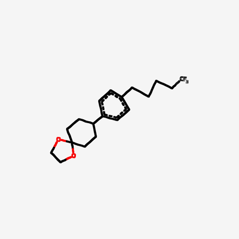 FC(F)(F)CCCCc1ccc(C2CCC3(CC2)OCCO3)cc1